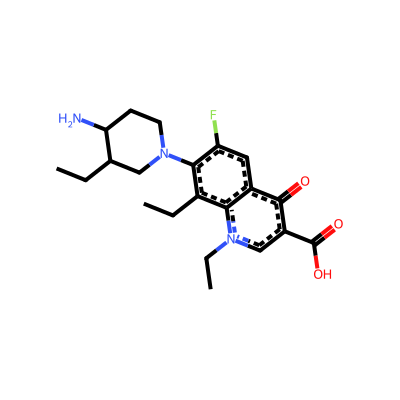 CCc1c(N2CCC(N)C(CC)C2)c(F)cc2c(=O)c(C(=O)O)cn(CC)c12